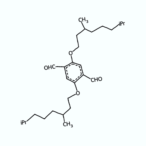 CC(C)CCCC(C)CCOc1cc(C=O)c(OCCC(C)CCCC(C)C)cc1C=O